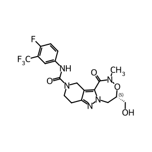 CN1O[C@H](CO)Cn2nc3c(c2C1=O)CN(C(=O)Nc1ccc(F)c(C(F)(F)F)c1)CC3